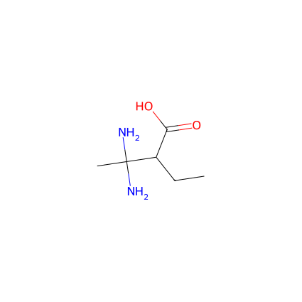 CCC(C(=O)O)C(C)(N)N